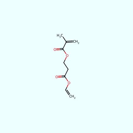 C=COC(=O)CCOC(=O)C(=C)C